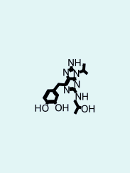 CC(O)CNc1nc(Cc2ccc(O)c(O)c2)c2nc(N)n(C(C)C)c2n1